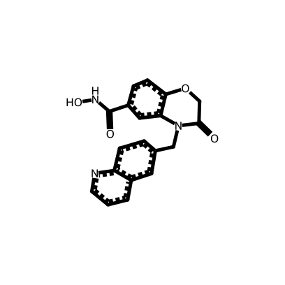 O=C(NO)c1ccc2c(c1)N(Cc1ccc3ncccc3c1)C(=O)CO2